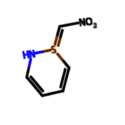 O=[N+]([O-])C=S1C=CC=CN1